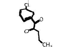 CCCC(=O)C(=O)c1cccc(Cl)c1